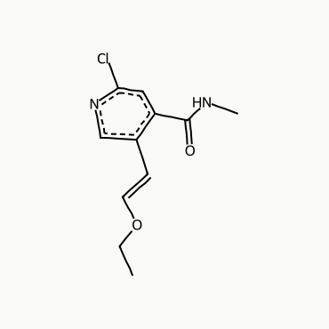 CCO/C=C/c1cnc(Cl)cc1C(=O)NC